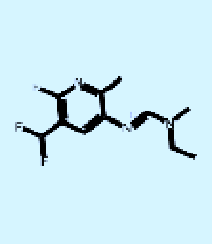 CCN(C)/C=N/c1cc(C(F)F)c(F)nc1C